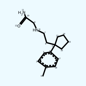 Cc1ccc(C2(CCNCC(N)=O)CCCC2)cc1